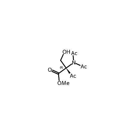 COC(=O)[C@@](CO)(C(C)=O)N(C(C)=O)C(C)=O